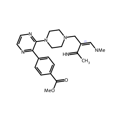 CN/C=C(/CN1CCN(c2nccnc2-c2ccc(C(=O)OC)cc2)CC1)C(C)=N